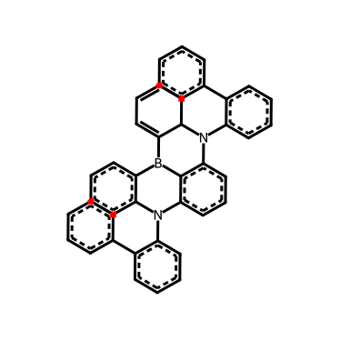 C1=CCC2C(=C1)B1c3ccccc3N(c3ccccc3-c3ccccc3)c3cccc(c31)N2c1ccccc1-c1ccccc1